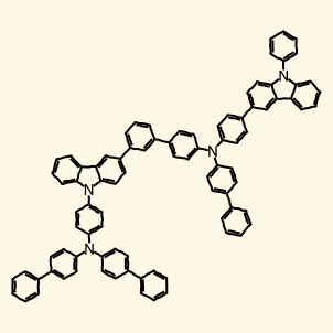 c1ccc(-c2ccc(N(c3ccc(-c4cccc(-c5ccc6c(c5)c5ccccc5n6-c5ccc(N(c6ccc(-c7ccccc7)cc6)c6ccc(-c7ccccc7)cc6)cc5)c4)cc3)c3ccc(-c4ccc5c(c4)c4ccccc4n5-c4ccccc4)cc3)cc2)cc1